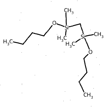 CCCCO[Si](C)(C)C[Si](C)(C)OCCCC